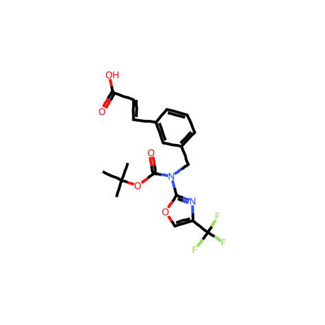 CC(C)(C)OC(=O)N(Cc1cccc(/C=C/C(=O)O)c1)c1nc(C(F)(F)F)co1